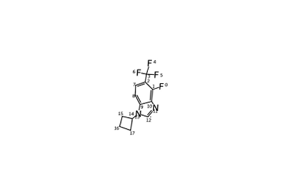 Fc1c(C(F)(F)F)ccc2c1n[c]n2C1CCC1